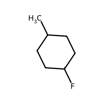 CC1CC[C](F)CC1